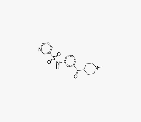 CN1CCC(C(=O)c2cccc(NS(=O)(=O)c3cccnc3)c2)CC1